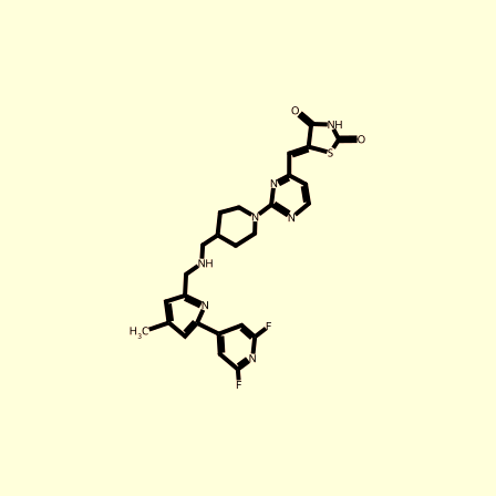 Cc1cc(CNCC2CCN(c3nccc(/C=C4\SC(=O)NC4=O)n3)CC2)nc(-c2cc(F)nc(F)c2)c1